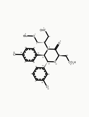 CC(C)(C)OC[C@H](CC=O)N1C(=O)[C@@H](CC(=O)O)O[C@H](c2cccc(Cl)c2)[C@H]1c1ccc(Cl)cc1